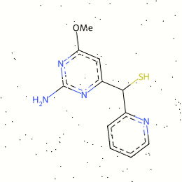 COc1cc(C(S)c2ccccn2)nc(N)n1